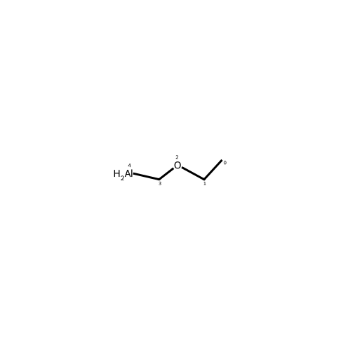 CCO[CH2][AlH2]